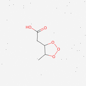 CC1OOOC1CC(=O)O